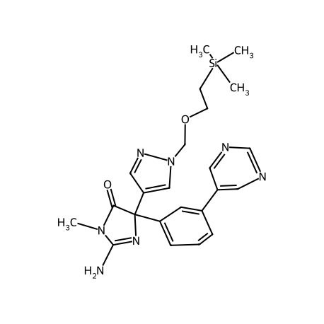 CN1C(=O)C(c2cccc(-c3cncnc3)c2)(c2cnn(COCC[Si](C)(C)C)c2)N=C1N